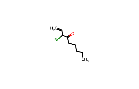 C=CC(Br)C(=O)CCCCC